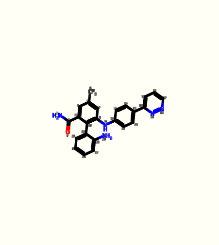 NC(=O)c1cc(C(F)(F)F)cc(Nc2ccc(-c3cccnn3)cc2)c1-c1ccccc1N